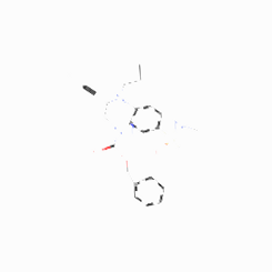 CC#C[C@@H](CNC(=O)OCc1ccccc1)N(CCC)c1ccc(S(C)(=O)=NC)cc1